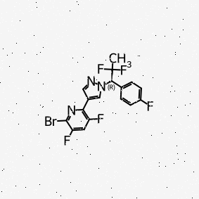 CC(F)(F)[C@@H](c1ccc(F)cc1)n1cc(-c2nc(Br)c(F)cc2F)cn1